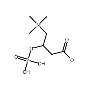 C[N+](C)(C)CC(CC(=O)[O-])OP(=O)(O)O